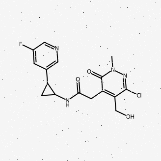 Cn1nc(Cl)c(CO)c(CC(=O)NC2CC2c2cncc(F)c2)c1=O